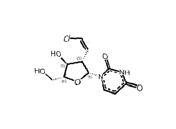 O=c1ccn([C@@H]2O[C@H](CO)[C@@H](O)[C@@H]2/C=C\Cl)c(=O)[nH]1